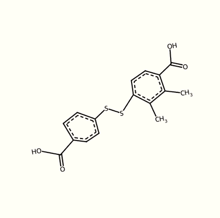 Cc1c(SSc2ccc(C(=O)O)cc2)ccc(C(=O)O)c1C